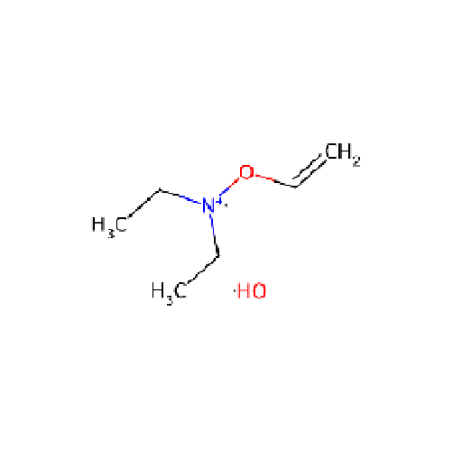 C=CO[N+](CC)CC.[OH]